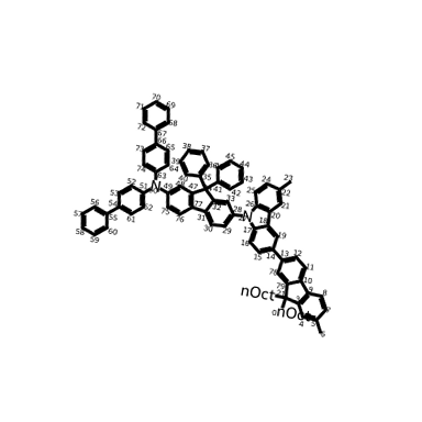 CCCCCCCCC1(CCCCCCCC)c2cc(C)ccc2-c2ccc(-c3ccc4c(c3)c3cc(C)ccc3n4-c3ccc4c(c3)C(c3ccccc3)(c3ccccc3)c3cc(N(c5ccc(-c6ccccc6)cc5)c5ccc(-c6ccccc6)cc5)ccc3-4)cc21